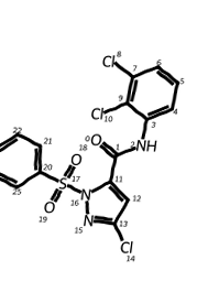 O=C(Nc1cccc(Cl)c1Cl)c1cc(Cl)nn1S(=O)(=O)c1ccccc1